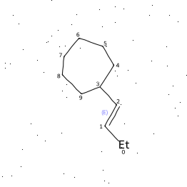 CC/C=C/C1C[CH]CCCC1